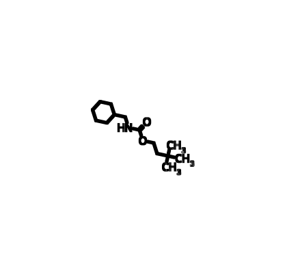 CC(C)(C)CCOC(=O)NCC1CCCCC1